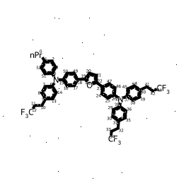 CCCc1ccc(N(c2ccc(CCC(F)(F)F)cc2)c2ccc(-c3ccc(-c4ccc(N(c5ccc(CCC(F)(F)F)cc5)c5ccc(CCC(F)(F)F)cc5)cc4)o3)cc2)cc1